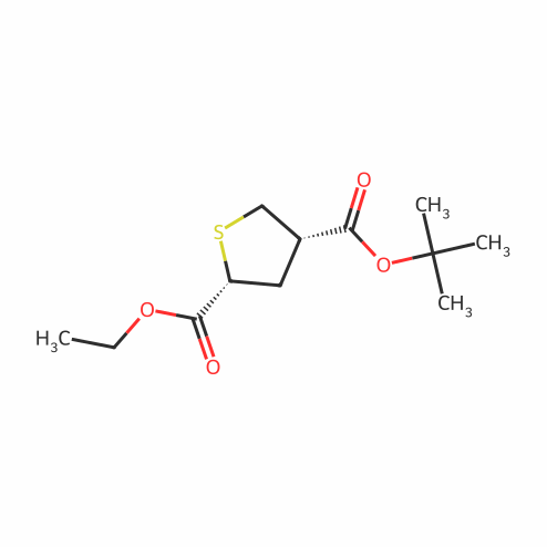 CCOC(=O)[C@H]1C[C@@H](C(=O)OC(C)(C)C)CS1